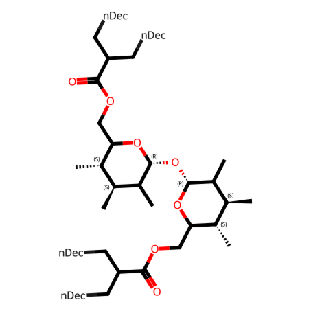 CCCCCCCCCCCC(CCCCCCCCCCC)C(=O)OCC1O[C@H](O[C@H]2OC(COC(=O)C(CCCCCCCCCCC)CCCCCCCCCCC)[C@@H](C)[C@H](C)C2C)C(C)[C@@H](C)[C@@H]1C